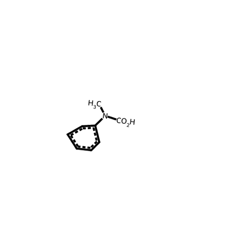 CN(C(=O)O)c1ccccc1